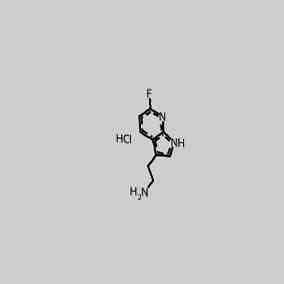 Cl.NCCc1c[nH]c2nc(F)ccc12